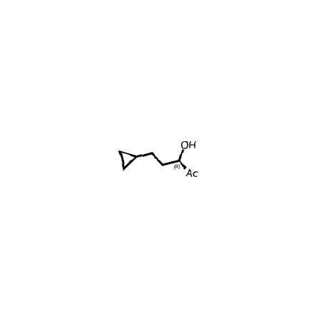 CC(=O)[C@H](O)CCC1CC1